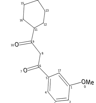 COc1cccc(C(=O)CC(=O)C2CCCCC2)c1